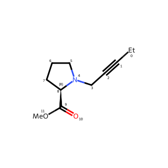 CCC#CCN1CCC[C@@H]1C(=O)OC